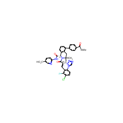 CNC(=O)c1ccc(-c2cccc3c2CC(C)(C)N(C(=O)/C=C/c2c(-n4cnnn4)ccc(Cl)c2F)[C@@H]3C(=O)Nc2ccc(C(=O)O)cn2)cc1